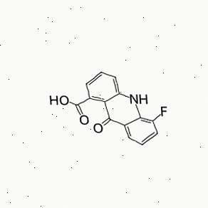 O=C(O)c1cccc2[nH]c3c(F)cccc3c(=O)c12